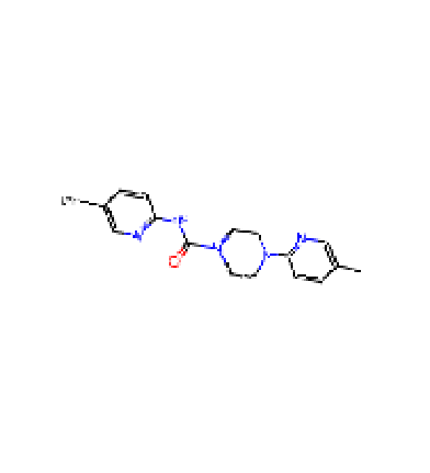 Cc1ccc(N2CCN(C(=O)Nc3ccc(C(C)C)cn3)CC2)nc1